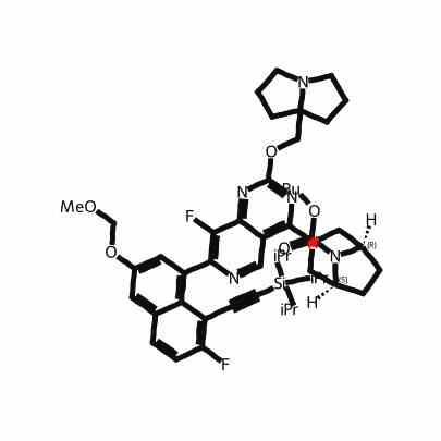 COCOc1cc(-c2ncc3c(N4C[C@H]5CC[C@@H](C4)N5C(=O)OC(C)(C)C)nc(OCC45CCCN4CCC5)nc3c2F)c2c(C#C[Si](C(C)C)(C(C)C)C(C)C)c(F)ccc2c1